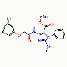 CCCCOC(=O)c1c(NC(=O)COc2cccc(Cl)c2)nc(N(C)C)n1-c1ccccc1